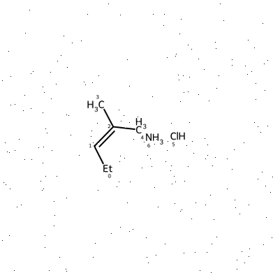 CCC=C(C)C.Cl.N